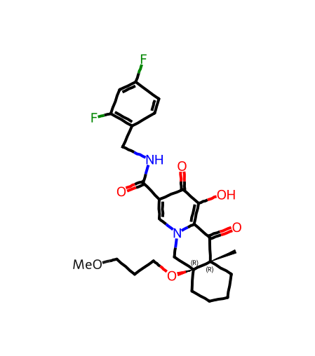 COCCCO[C@]12CCCC[C@@]1(C)C(=O)c1c(O)c(=O)c(C(=O)NCc3ccc(F)cc3F)cn1C2